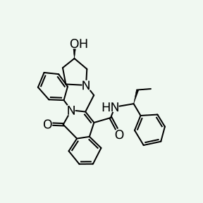 CC[C@H](NC(=O)c1c(CN2CC[C@@H](O)C2)n(-c2ccccc2)c(=O)c2ccccc12)c1ccccc1